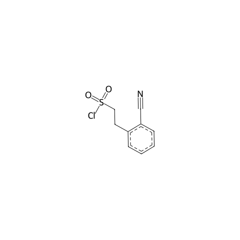 N#Cc1ccccc1CCS(=O)(=O)Cl